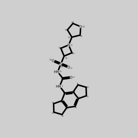 O=C(Nc1c2c(cc3c1CCC3)CCC2)NS(=O)(=O)C1CN(C2CCOC2)C1